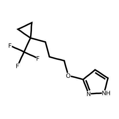 FC(F)(F)C1(CCCOc2cc[nH]n2)CC1